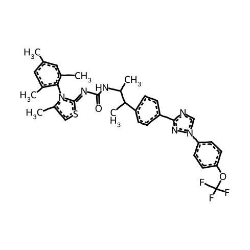 Cc1cc(C)c(-n2c(C)cs/c2=N\C(=O)NC(C)C(C)c2ccc(-c3ncn(-c4ccc(OC(F)(F)F)cc4)n3)cc2)c(C)c1